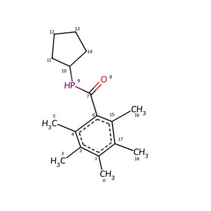 Cc1c(C)c(C)c(C(=O)PC2CCCC2)c(C)c1C